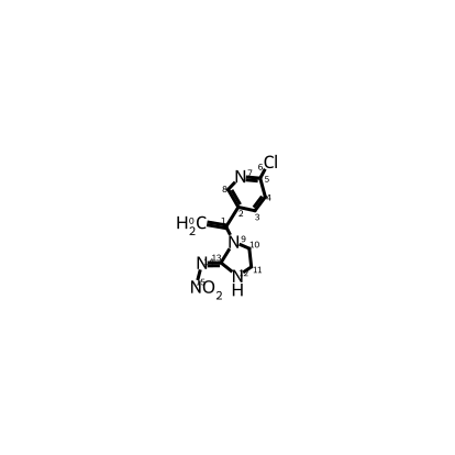 C=C(c1ccc(Cl)nc1)N1CCN/C1=N\[N+](=O)[O-]